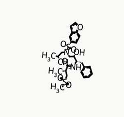 CC(C)CN(C[C@@H](O)[C@H](Cc1ccccc1)NC(=O)[C@H](C)CS(C)(=O)=O)S(=O)(=O)c1ccc2occc2c1